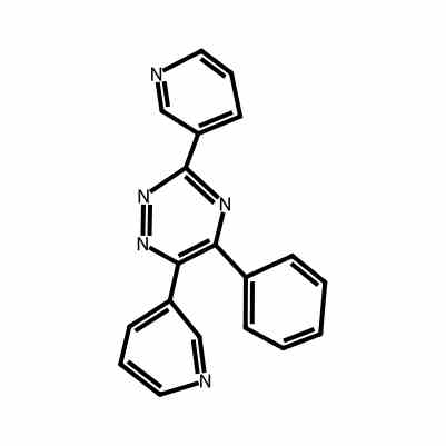 c1ccc(-c2nc(-c3cccnc3)nnc2-c2cccnc2)cc1